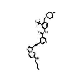 CCCCNc1ccc2ncc(C#Cc3cncc(C(=O)Nc4ccc(CN5CCN(C)CC5)c(C(F)(F)F)c4)c3)n2n1